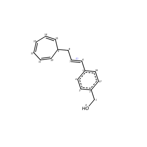 OCc1ccc(/C=C/CC2C=CC=CC=C2)cc1